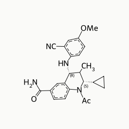 COc1ccc(N[C@H]2c3cc(C(N)=O)ccc3N(C(C)=O)[C@@H](C3CC3)C2C)c(C#N)c1